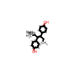 CC/C(=C(/CC)c1ccc(O)cc1)c1ccc(O)cc1.[NaH].[NaH]